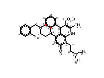 CCOC(=O)C1=C(C)Nc2c(c(N3CCN(Cc4ccccc4F)CC3)nc(=O)n2CCN(C)C)C1c1ccccc1